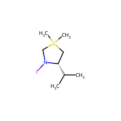 CC(C)[C@H]1CS(C)(C)CN1I